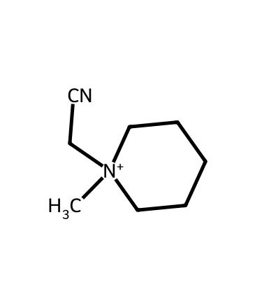 C[N+]1(CC#N)CCCCC1